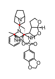 Cc1nnc(C2CO[C@H]3OCCC23)n1C1CC2CCC(C1)N2CC[C@H](NS(=O)(=O)c1ccc2c(c1)OCO2)c1ccccc1